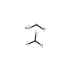 CC(=O)OCC(C)C.ClC(Cl)Cl